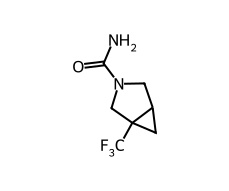 NC(=O)N1CC2CC2(C(F)(F)F)C1